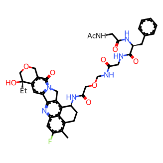 CC[C@@]1(O)COCc2c1cc1n(c2=O)Cc2c-1nc1cc(F)c(C)c3c1c2[C@@H](NC(=O)COCNC(=O)CNC(=O)[C@H](Cc1ccccc1)NC(=O)CNC(C)=O)CC3